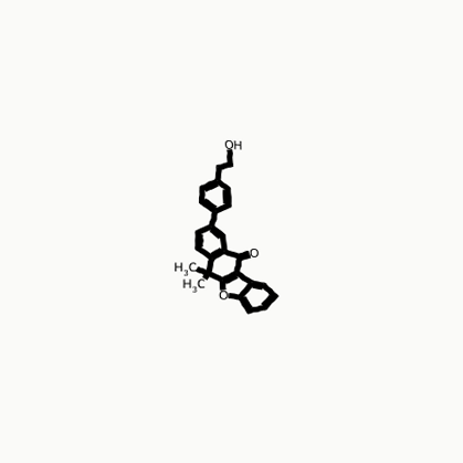 CC1(C)c2ccc(-c3ccc(CCO)cc3)cc2C(=O)c2c1oc1ccccc21